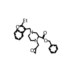 CCc1oc2ccccc2c1CN1CCN(CC2CO2)C(C(=O)OCc2ccccc2)C1